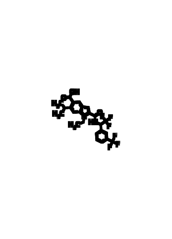 CCn1c(C(=O)NC(c2cccc(C(F)(F)F)c2)C(F)(F)F)cc2cc(C(=O)O)c(C(C)C)cc21